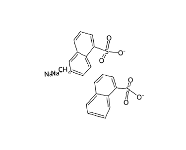 C.O=S(=O)([O-])c1cccc2ccccc12.O=S(=O)([O-])c1cccc2ccccc12.[Na+].[Na+]